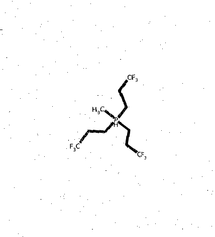 C[PH](CCC(F)(F)F)(CCC(F)(F)F)CCC(F)(F)F